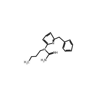 CCCCN(C(=N)N)c1cccc(Cc2ccccc2)n1